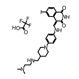 CN(C)CCNCC1CCN(c2ccc(N/C=C3\C(=O)NC(=O)c4ccc(I)cc43)cc2)CC1.O=C(O)C(F)(F)F